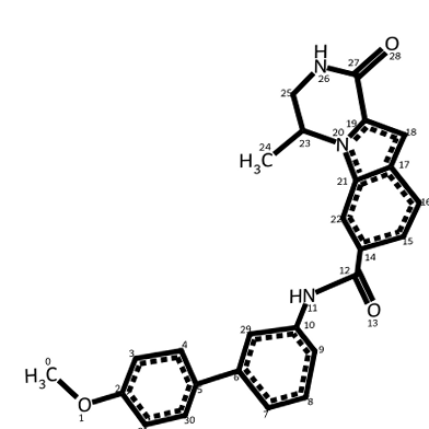 COc1ccc(-c2cccc(NC(=O)c3ccc4cc5n(c4c3)C(C)CNC5=O)c2)cc1